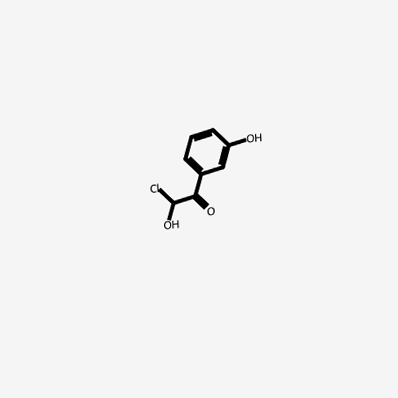 O=C(c1cccc(O)c1)C(O)Cl